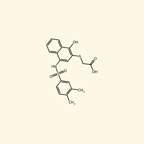 Cc1ccc(S(=O)(=O)Nc2cc(SCC(=O)O)c(O)c3ccccc23)cc1C